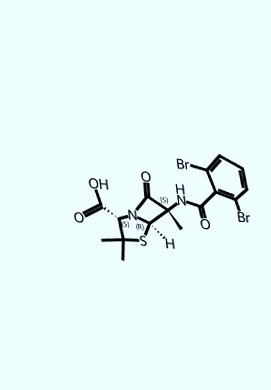 CC1(C)S[C@H]2N(C(=O)[C@]2(C)NC(=O)c2c(Br)cccc2Br)[C@H]1C(=O)O